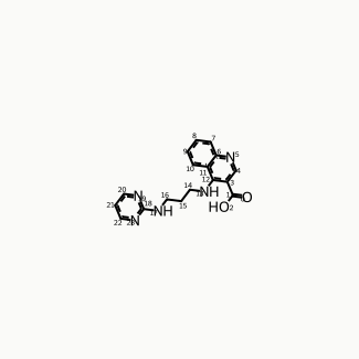 O=C(O)c1cnc2ccccc2c1NCCCNc1ncccn1